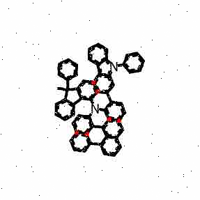 CC1(c2ccccc2)c2ccccc2-c2c(N(c3ccccc3-c3ccc4c5ccccc5n(-c5ccccc5)c4c3)c3ccccc3-c3cccc4cccc(-c5ccccc5)c34)cccc21